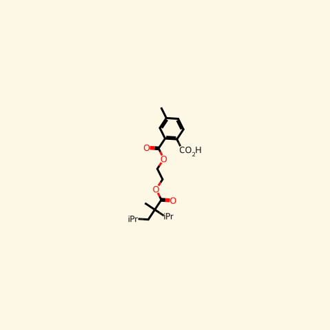 Cc1ccc(C(=O)O)c(C(=O)OCCOC(=O)C(C)(CC(C)C)C(C)C)c1